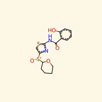 O=C(Nc1nc([S+]([O-])C2CCCCO2)cs1)c1ccccc1O